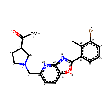 COC(=O)C1CCN(Cc2ccc3oc(-c4cccc(Br)c4C)nc3n2)C1